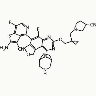 N#Cc1c(N)sc2c(F)cnc(-c3c4c(c5c(N6C7CCC6CNC7)nc(OCC6(CN7CC[C@H](C#N)C7)CC6)nc5c3F)COC4)c12